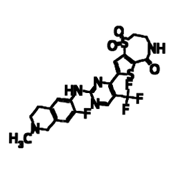 CN1CCc2cc(Nc3ncc(C(F)(F)F)c(-c4cc5c(s4)C(=O)NCCS5(=O)=O)n3)c(F)cc2C1